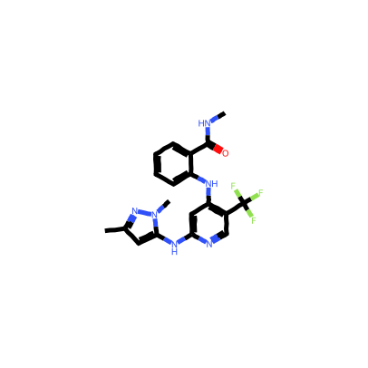 CNC(=O)c1ccccc1Nc1cc(Nc2cc(C)nn2C)ncc1C(F)(F)F